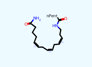 CCCCCC(=O)NCC/C=C\C/C=C\C/C=C\CCCC(N)=O